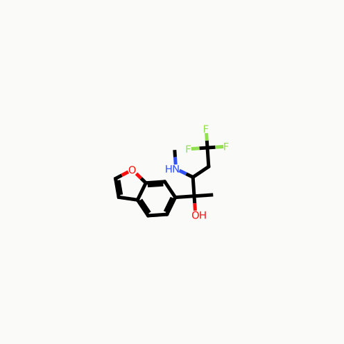 CNC(CC(F)(F)F)C(C)(O)c1ccc2ccoc2c1